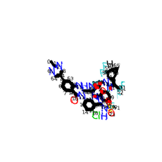 Cc1ncc(-c2ccc3c(=O)n(-c4ccc(Cl)c5c(NS(C)(=O)=O)nn(CC(F)(F)F)c45)c([C@H](Cc4cc(F)cc(F)c4)NC(=O)Cn4nc(C(F)F)c5c4C(F)(F)[C@@H]4CC54)nc3c2)cn1